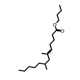 CCCCCC(C)C/C(C)=C/CCCC(=O)OCCCC